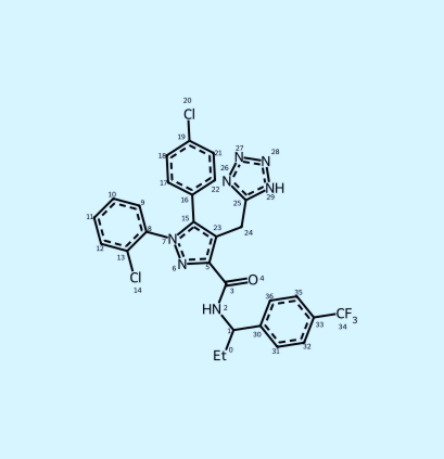 CCC(NC(=O)c1nn(-c2ccccc2Cl)c(-c2ccc(Cl)cc2)c1Cc1nnn[nH]1)c1ccc(C(F)(F)F)cc1